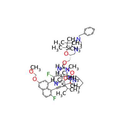 COCOc1cc(-c2ncc3c(N4CC5CCC(C4)N5C(=O)OC(C)(C)C)nc(OC[C@@H](CN4CCN(Cc5ccccc5)CC4)O[Si](C)(C)C(C)(C)C)nc3c2F)c2c(C#C[Si](C(C)C)(C(C)C)C(C)C)c(F)ccc2c1